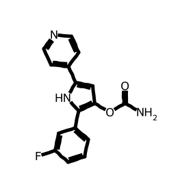 NC(=O)Oc1cc(-c2ccncc2)[nH]c1-c1cccc(F)c1